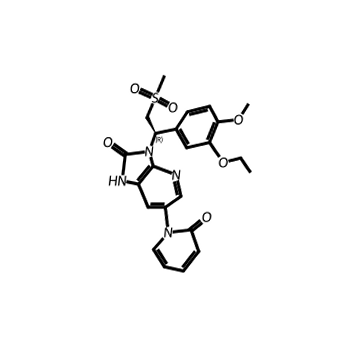 CCOc1cc([C@H](CS(C)(=O)=O)n2c(=O)[nH]c3cc(-n4ccccc4=O)cnc32)ccc1OC